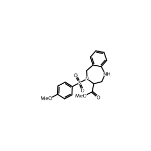 COC(=O)C1CNc2ccccc2CN1S(=O)(=O)c1ccc(OC)cc1